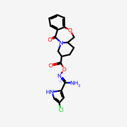 N/C(=N\OC(=O)C1CCC2COc3ccccc3C(=O)N2C1)c1cc(Cl)c[nH]1